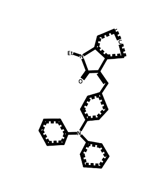 CCN1C(=O)/C(=C\c2ccc(N(c3ccccc3)c3ccccc3)cc2)c2ccccc21